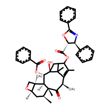 CC(=O)O[C@H]1C(=O)[C@@]2(C)[C@H]([C@H](OC(=O)c3ccccc3)[C@]3(O)CC(OC(=O)[C@@H]4OC(c5ccccc5)=N[C@H]4c4ccccc4)C(C)=C1C3(C)C)[C@]1(OC(C)=O)CO[C@@H]1C[C@@H]2C